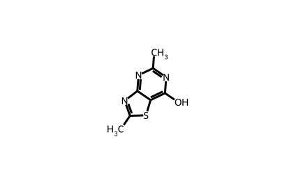 Cc1nc(O)c2sc(C)nc2n1